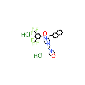 Cl.Cl.O=C(c1cc(C(F)(F)F)cc(C(F)(F)F)c1)N1CCN(CCN2CCOCC2)C[C@H]1Cc1ccc2ccccc2c1